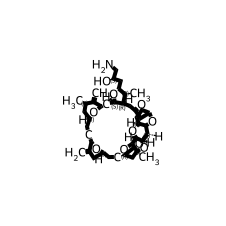 C=C1C[C@@H]2CC[C@@]34C[C@]5(C)O[C@H]6[C@@H](O3)C3OC(CC[C@@H]3O[C@H]6C5O4)CC(=O)C[C@H]3[C@H](CC4O[C@@H](CCC1O2)C[C@@H](C)C4=C)OC(C[C@H](O)CN)[C@@H]3C